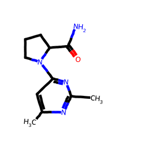 Cc1cc(N2CCCC2C(N)=O)nc(C)n1